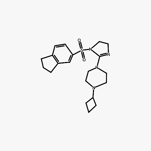 O=S(=O)(c1ccc2c(c1)CCC2)N1CCN=C1N1CCN(C2CCC2)CC1